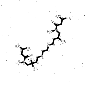 CC(C)CC(=O)N(C)CC(C)CCOCCOCCC(C)(C)CN(C)C(=O)CC(C)C